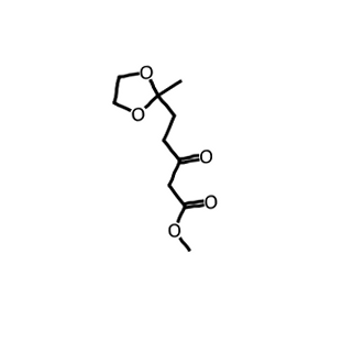 COC(=O)CC(=O)CCC1(C)OCCO1